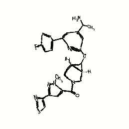 CC(N)c1cc(OC2[C@H]3CN(C(=O)c4cc(-c5cscn5)nn4C)C[C@@H]23)nc(-c2ccc(F)cc2)c1